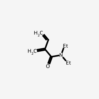 C=CC(=C)C(=O)N(CC)CC